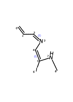 C=C/C=N\C=C(\I)NC